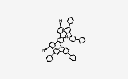 N#Cc1ccc(-c2cc(-c3ccc(C#N)cc3)c(-n3c4ccc(-c5ccccc5)cc4c4cc(-c5ccccc5)ccc43)cc2-n2c3ccc(-c4ccccc4)cc3c3cc(-c4ccccc4)ccc32)cc1